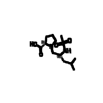 CC(C)C[C@H](CN1CCC[C@H]1C(=O)O)NS(C)(=O)=O